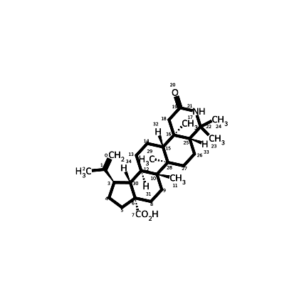 C=C(C)[C@@H]1CC[C@]2(C(=O)O)CC[C@]3(C)[C@H](CC[C@@H]4[C@@]5(C)CC(=O)NC(C)(C)[C@@H]5CC[C@]43C)[C@@H]12